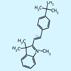 C[N+]1=C(/C=C/c2ccc(C(C)(C)C)cc2)C(C)(C)c2ccccc21